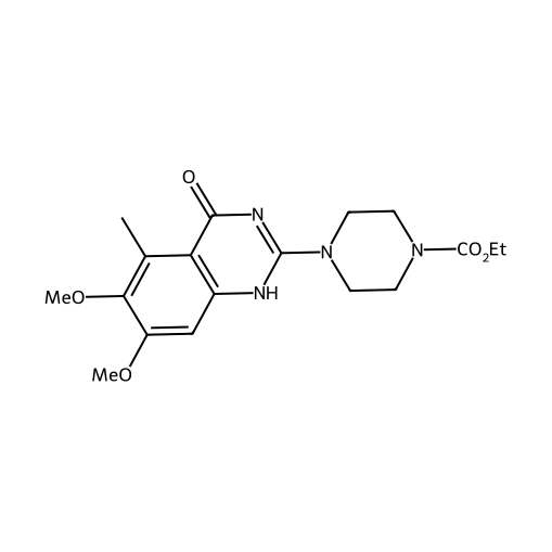 CCOC(=O)N1CCN(c2nc(=O)c3c(C)c(OC)c(OC)cc3[nH]2)CC1